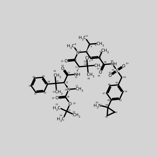 C/C(=C\[C@H](C(C)C)N(C)C(=O)[C@@H](NC(=O)[C@@H](N(C)C(=O)OC(C)(C)C)C(C)(C)c1ccccc1)C(C)(C)C)C(=O)NS(=O)(=O)Cc1ccc(C2(N)CC2)cc1